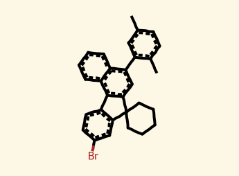 Cc1ccc(C)c(-c2cc3c(c4ccccc24)-c2ccc(Br)cc2C32CCCCC2)c1